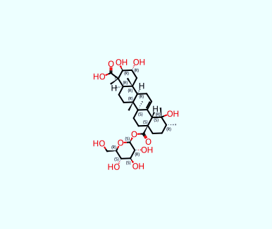 C[C@@H]1CC[C@]2(C(=O)O[C@@H]3O[C@H](CO)[C@@H](O)[C@H](O)[C@H]3O)CC[C@]3(C)C(=CC[C@@H]4[C@@]5(C)C[C@@H](O)[C@H](O)[C@@](C)(C(=O)O)[C@@H]5CC[C@]43C)[C@@H]2[C@]1(C)O